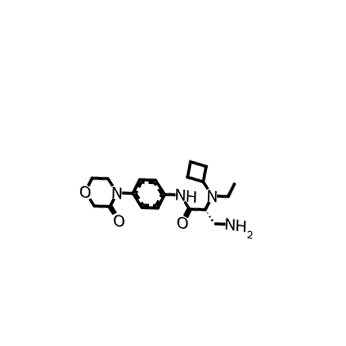 CCN(C1CCC1)[C@H](CN)C(=O)Nc1ccc(N2CCOCC2=O)cc1